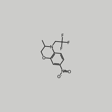 CC1COc2cc([N+](=O)[O-])ccc2N1CC(F)(F)F